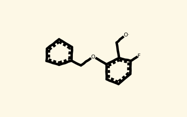 [O]Cc1c(F)cccc1OCc1ccccc1